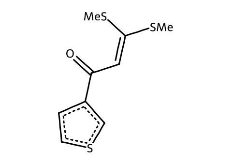 CSC(=CC(=O)c1ccsc1)SC